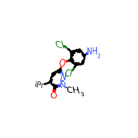 CC(C)c1cc(Oc2c(Cl)cc(N)cc2Cl)nn(C)c1=O